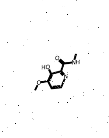 CNC(=O)c1nccc(OC)c1O